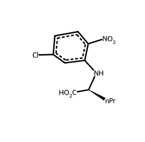 CCC[C@H](Nc1cc(Cl)ccc1[N+](=O)[O-])C(=O)O